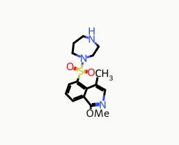 COc1ncc(C)c2c(S(=O)(=O)N3CCCNCC3)cccc12